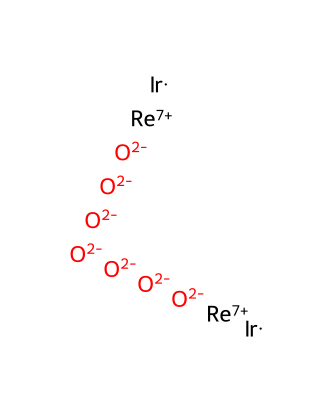 [Ir].[Ir].[O-2].[O-2].[O-2].[O-2].[O-2].[O-2].[O-2].[Re+7].[Re+7]